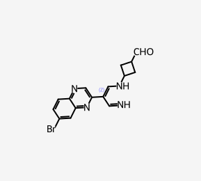 N=C/C(=C\NC1CC(C=O)C1)c1cnc2ccc(Br)cc2n1